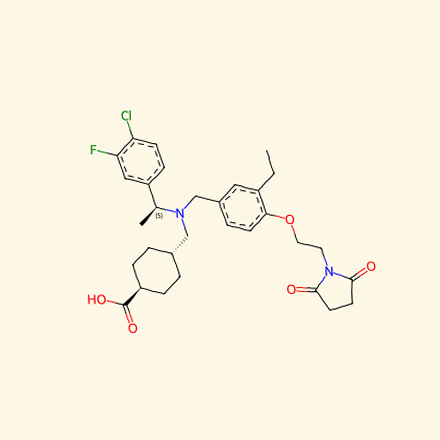 CCc1cc(CN(C[C@H]2CC[C@H](C(=O)O)CC2)[C@@H](C)c2ccc(Cl)c(F)c2)ccc1OCCN1C(=O)CCC1=O